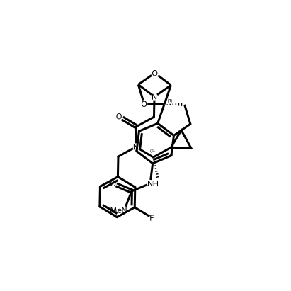 CNC(=O)Nc1ccc2c(c1)CC[C@@]21OC2OC1N2CC(=O)N(Cc1cccc(F)c1)[C@@H](C)C1CC1